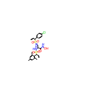 C=CC(c1ccc(Cl)cc1)S(=O)(=O)NCC(NS(=O)(=O)C(C=C)c1c(C)cc(C)cc1C)C(=O)NO